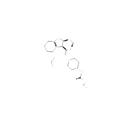 CC(C)(C)OC(=O)N[C@H]1CC[C@H](Oc2ncnc3sc4c(c23)[C@H](CCC#N)CCC4)CC1